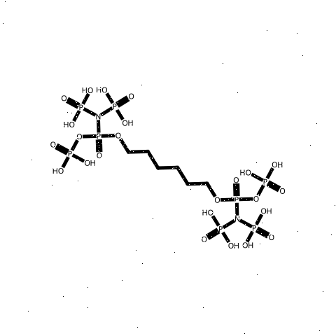 O=P(O)(O)OP(=O)(OCCCCCCOP(=O)(OP(=O)(O)O)N(P(=O)(O)O)P(=O)(O)O)N(P(=O)(O)O)P(=O)(O)O